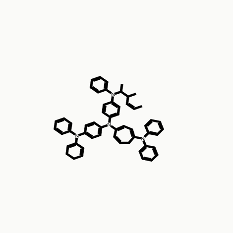 C/C=C\C(C)C(C)N(c1ccccc1)c1ccc(N(C2=CC=C(N(c3ccccc3)c3ccccc3)CC=C2)c2ccc(N(C3=CCCC=C3)c3ccccc3)cc2)cc1